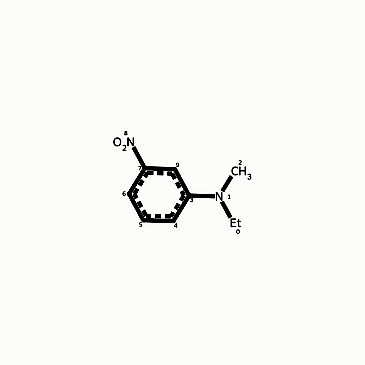 CCN(C)c1cccc([N+](=O)[O-])c1